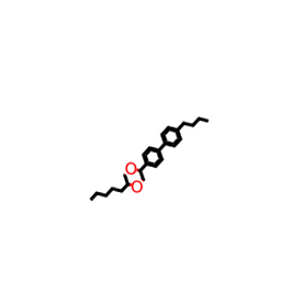 CCCCCC1COC(c2ccc(-c3ccc(CCCC)cc3)cc2)CO1